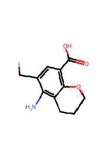 Nc1c(CI)cc(C(=O)O)c2c1CCCO2